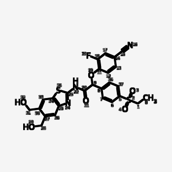 CCS(=O)(=O)c1ccc(C(Oc2ccc(C#N)cc2F)C(=O)Nc2nc3cc(CO)c(CO)cc3s2)cc1